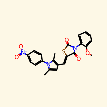 COc1ccccc1N1C(=O)SC(=Cc2cc(C)n(-c3ccc([N+](=O)[O-])cc3)c2C)C1=O